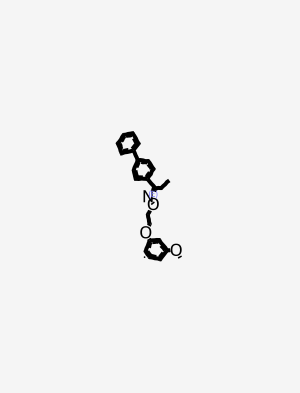 CC/C(=N\OCCOc1c[c]cc(OC)c1)c1ccc(-c2ccccc2)cc1